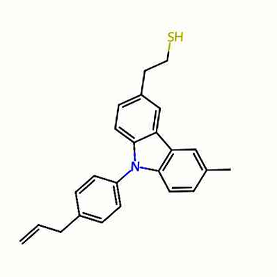 C=CCc1ccc(-n2c3ccc(C)cc3c3cc(CCS)ccc32)cc1